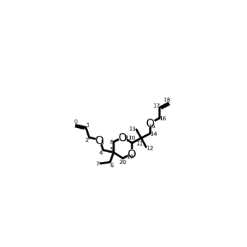 C=CCOCC1(CC)COC(C(C)(C)COCC=C)OC1